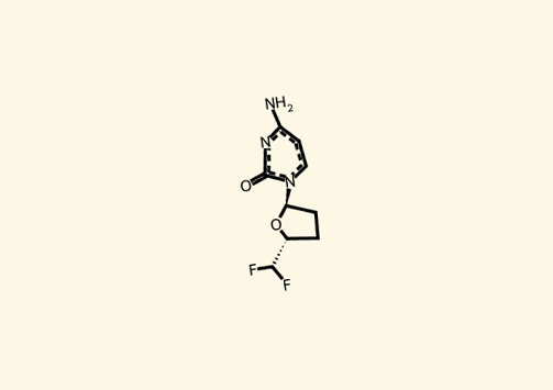 Nc1ccn([C@H]2CC[C@H](C(F)F)O2)c(=O)n1